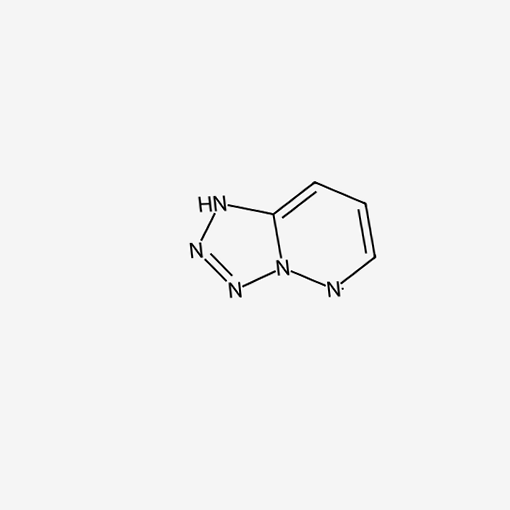 C1=C[N]N2N=NNC2=C1